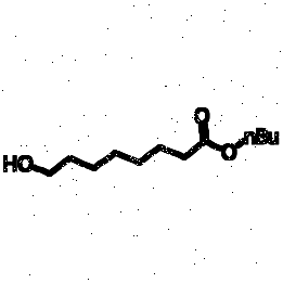 CCCCOC(=O)CCCCCCCO